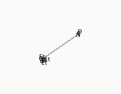 CCO[Si](CCCCCCCCCCCCCCCCCCCCCCCCCN=C=O)(OCC)OCC